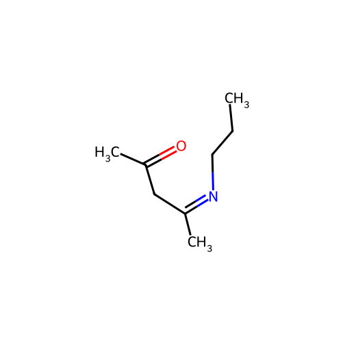 CCC/N=C(/C)CC(C)=O